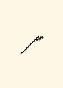 CCCCCCCCCCCCCCCCCCC(C)[N+](C)(O)O.[Cl-]